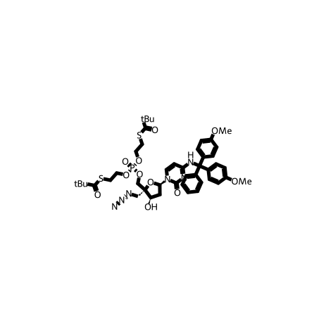 COc1ccc(C(Nc2ccn([C@H]3C[C@H](O)[C@@](CN=[N+]=[N-])(COP(=O)(OCCSC(=O)C(C)(C)C)OCCSC(=O)C(C)(C)C)O3)c(=O)n2)(c2ccccc2)c2ccc(OC)cc2)cc1